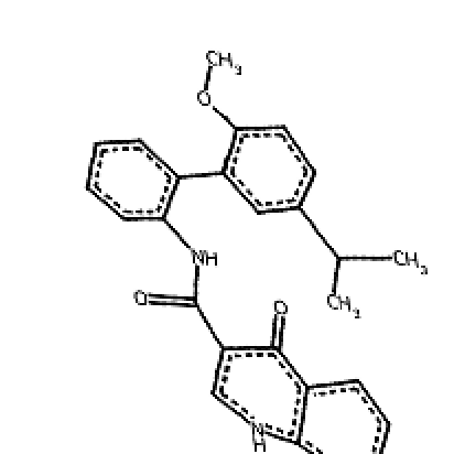 COc1ccc(C(C)C)cc1-c1ccccc1NC(=O)c1c[nH]c2ccccc2c1=O